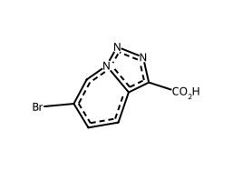 O=C(O)c1nnn2cc(Br)ccc12